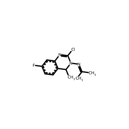 CC(C)=NN1C(Cl)=Nc2cc(F)ccc2C1C